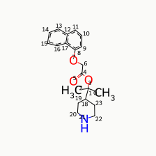 CC(C)(OC(=O)COc1cccc2ccccc12)C1CCNCC1